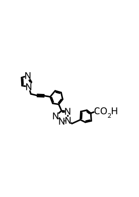 O=C(O)c1ccc(Cn2nnc(-c3cccc(C#CCn4ccnc4)c3)n2)cc1